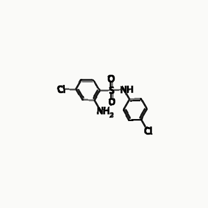 Nc1cc(Cl)ccc1S(=O)(=O)Nc1ccc(Cl)cc1